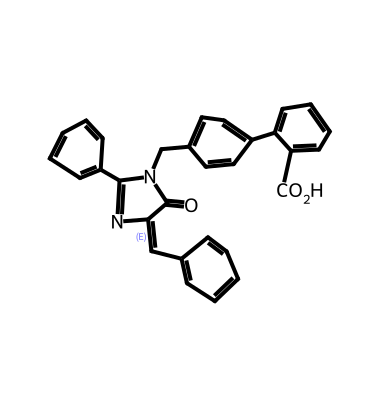 O=C(O)c1ccccc1-c1ccc(CN2C(=O)/C(=C\c3ccccc3)N=C2c2ccccc2)cc1